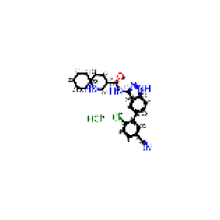 Cl.N#Cc1ccc(Cl)c(-c2ccc3[nH]nc(NC(=O)C4CCC5(CCCCC5)NC4)c3c2)c1